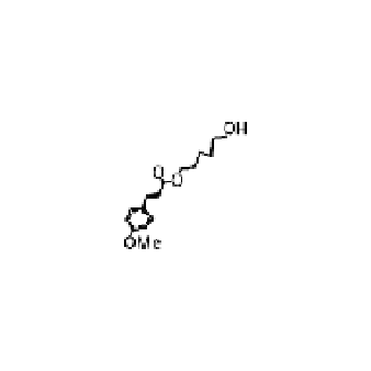 COc1ccc(/C=C/C(=O)OCCCCCCO)cc1